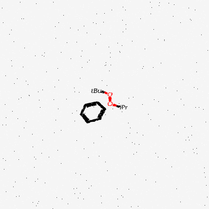 CC(C)OOC(C)(C)C.c1ccccc1